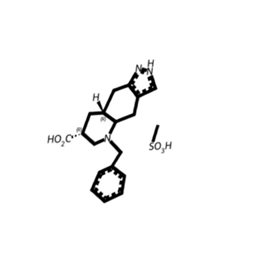 CS(=O)(=O)O.O=C(O)[C@@H]1C[C@@H]2Cc3n[nH]cc3CC2N(Cc2ccccc2)C1